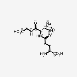 N#C[O-].N[C@@H](CCC(=O)N[C@@H](CS)C(=O)NCC(=O)O)C(=O)O.[Na+]